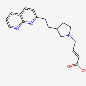 O=C(O)/C=C/CN1CCC(CCc2ccc3cccnc3n2)C1